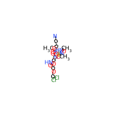 COC(=O)[C@H](Cc1ccc(-c2ccc(C#N)cc2)cc1)NC(=O)C1Cc2cc3c(cc2CN1S(=O)(=O)c1sc(NC(C)=O)nc1C)OC(c1ccc(OCc2ccc(Cl)c(Cl)c2)cc1)C(=O)N3